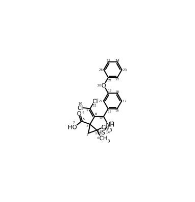 CC1(C)CC1(C(=O)O)C(=C(Cl)Cl)C(NS)c1cccc(Oc2ccccc2)c1